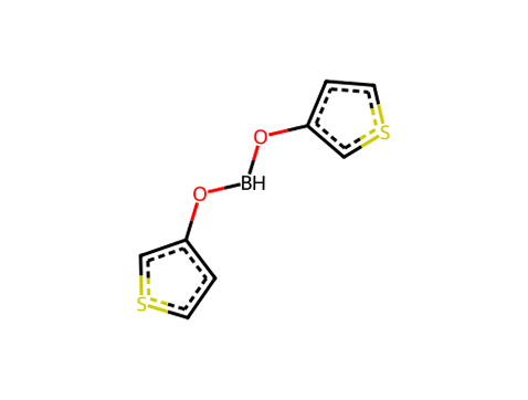 B(Oc1ccsc1)Oc1ccsc1